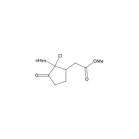 CCCCCCC1(Cl)C(=O)CCC1CC(=O)OC